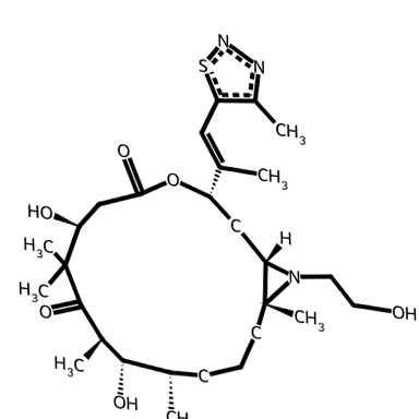 C/C(=C\c1snnc1C)[C@@H]1C[C@@H]2N(CCO)[C@]2(C)CCC[C@H](C)[C@H](O)[C@@H](C)C(=O)C(C)(C)[C@@H](O)CC(=O)O1